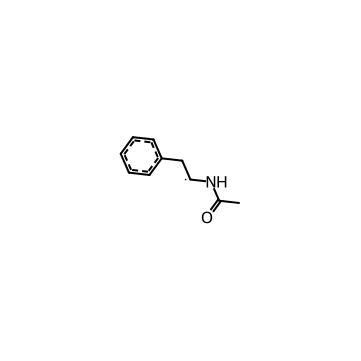 CC(=O)N[CH]Cc1ccccc1